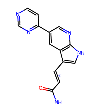 NC(=O)/C=C/c1c[nH]c2ncc(-c3ccncn3)cc12